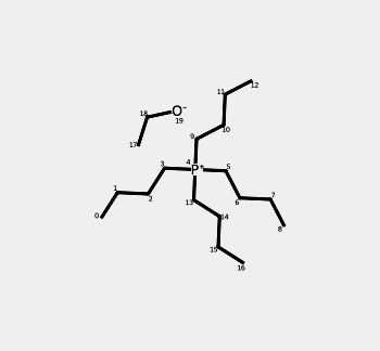 CCCC[P+](CCCC)(CCCC)CCCC.CC[O-]